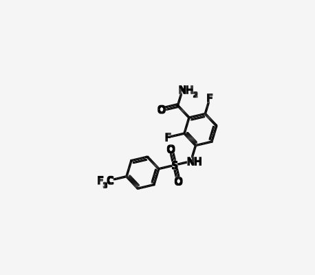 NC(=O)c1c(F)ccc(NS(=O)(=O)c2ccc(C(F)(F)F)cc2)c1F